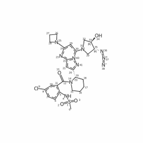 CS(=O)(=O)Nc1ccc(Cl)cc1C(=O)N1CCCC[C@H]1c1cc2nc(N3CCC3)cc(N3C[C@@H](O)[C@H](N=[N+]=[N-])C3)n2n1